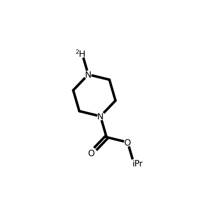 [2H]N1CCN(C(=O)OC(C)C)CC1